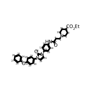 CCOC(=O)C1CCN(CCC(=O)Nc2ccc(-n3ccn(-c4ccc(Oc5ccccc5)cc4)c3=O)cc2)CC1